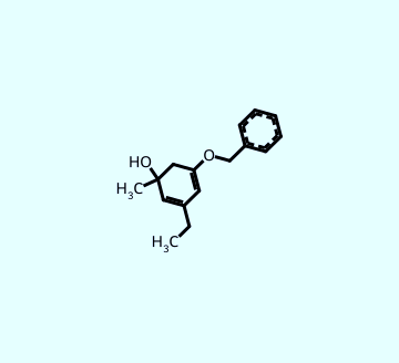 CCC1=CC(C)(O)CC(OCc2ccccc2)=C1